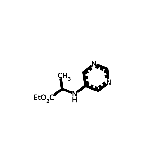 CCOC(=O)C(C)Nc1cncnc1